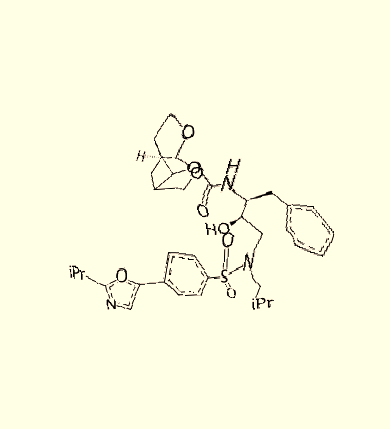 CC(C)CN(C[C@@H](O)[C@H](Cc1ccccc1)NC(=O)OC1C2COC3OCC1[C@@H]3C2)S(=O)(=O)c1ccc(-c2cnc(C(C)C)o2)cc1